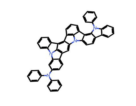 c1ccc(N(c2ccccc2)c2ccc3c4cc5c(c6cccc7c8c9c(ccc8n5c67)c5ccccc5n9-c5ccccc5)c5c6ccccc6n(c3c2)c45)cc1